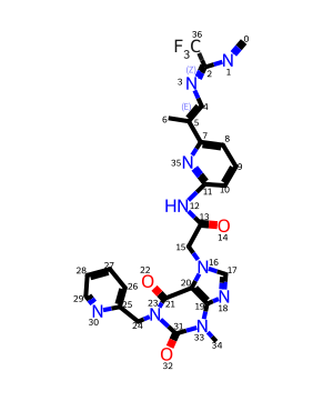 C=N/C(=N\C=C(/C)c1cccc(NC(=O)Cn2cnc3c2c(=O)n(Cc2ccccn2)c(=O)n3C)n1)C(F)(F)F